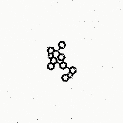 c1ccc(N(c2ccccc2)c2cccc3oc4c5ccccc5c(-c5ccc(-c6cccc7oc8ccccc8c67)cc5)cc4c23)cc1